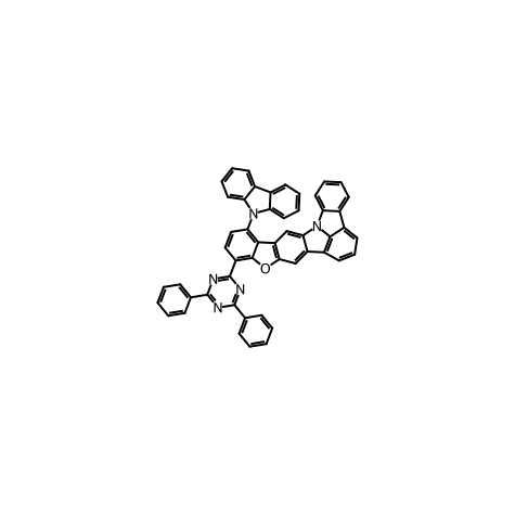 c1ccc(-c2nc(-c3ccccc3)nc(-c3ccc(-n4c5ccccc5c5ccccc54)c4c3oc3cc5c6cccc7c8ccccc8n(c5cc34)c76)n2)cc1